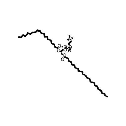 CCCCCCCC/C=C\CCCCCCCCCC(=O)O[C@H](COC(=O)CCCCCCCCCCCCCCCCCCCCCCC)COP(=O)(O)OCC[N+](C)(C)C